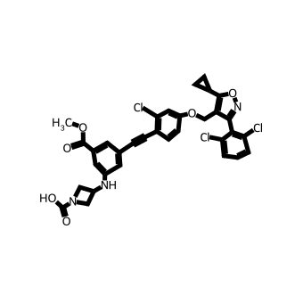 COC(=O)c1cc(C#Cc2ccc(OCc3c(-c4c(Cl)cccc4Cl)noc3C3CC3)cc2Cl)cc(NC2CN(C(=O)O)C2)c1